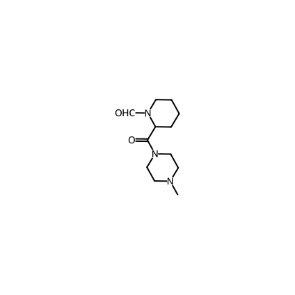 CN1CCN(C(=O)C2CCCCN2C=O)CC1